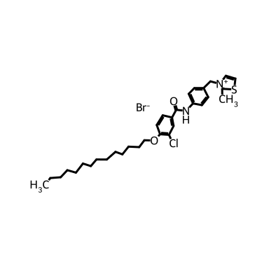 CCCCCCCCCCCCCCOc1ccc(C(=O)Nc2ccc(C[n+]3ccsc3C)cc2)cc1Cl.[Br-]